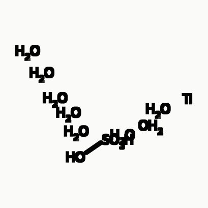 O.O.O.O.O.O.O.O.O=S(=O)(O)O.[Ti]